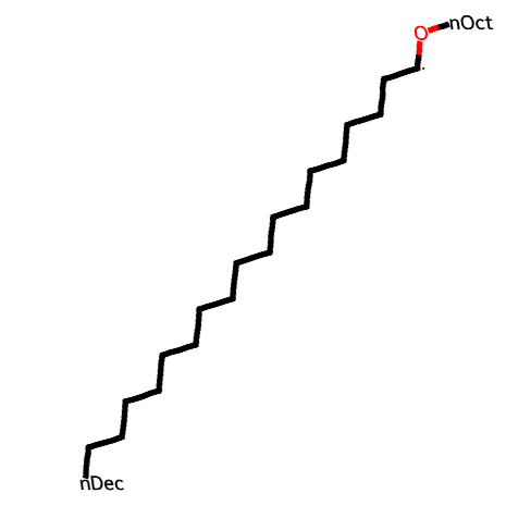 CCCCCCCCCCCCCCCCCCCCCCCCCCC[CH]OCCCCCCCC